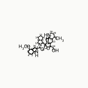 COc1cccc2[nH]c(C(=O)N3CC4CCCC4C3C(=O)NC(CC3C(=O)NCCC3C)C(=O)CO)cc12